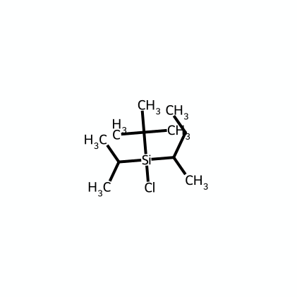 CCC(C)[Si](Cl)(C(C)C)C(C)(C)C